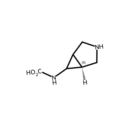 O=C(O)NC1C2CNC[C@H]21